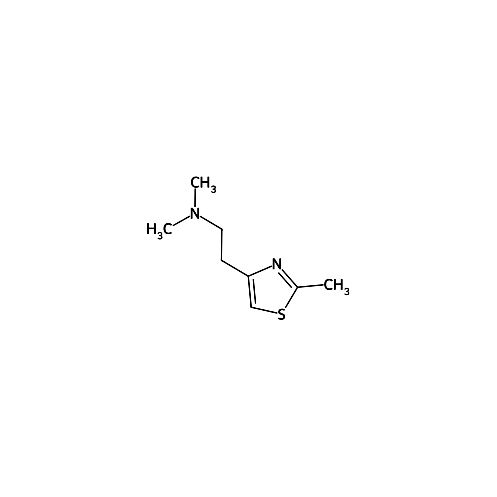 Cc1nc(CCN(C)C)cs1